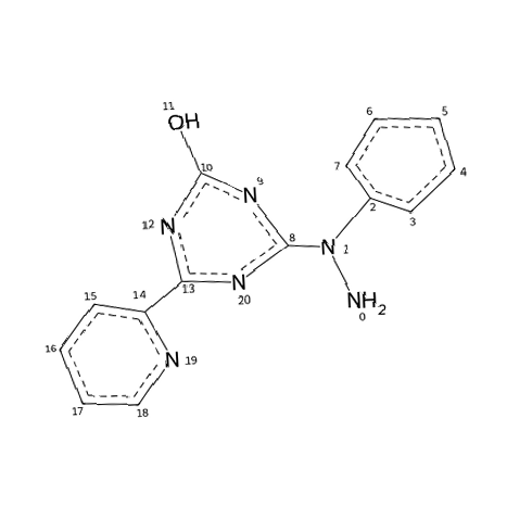 NN(c1ccccc1)c1nc(O)nc(-c2ccccn2)n1